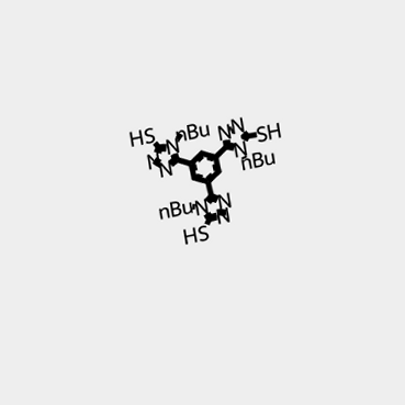 CCCCn1c(S)nnc1-c1cc(-c2nnc(S)n2CCCC)cc(-c2nnc(S)n2CCCC)c1